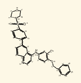 O=S(=O)(c1ccc(-c2ccc3nccc(Nc4ccc(OCc5ccccc5)c(Cl)c4)c3c2)cc1)N1CCOCC1